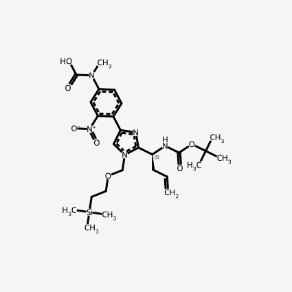 C=CC[C@H](NC(=O)OC(C)(C)C)c1nc(-c2ccc(N(C)C(=O)O)cc2[N+](=O)[O-])cn1COCC[Si](C)(C)C